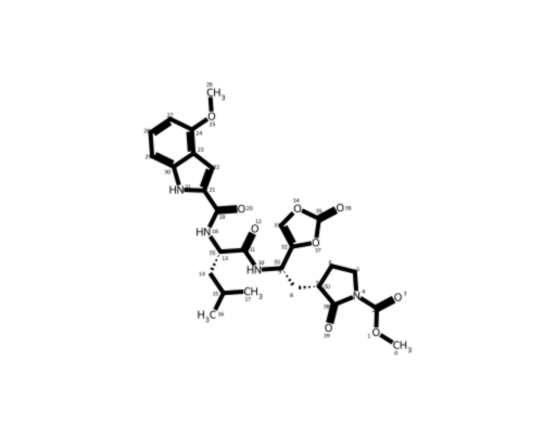 COC(=O)N1CC[C@@H](C[C@H](NC(=O)[C@H](CC(C)C)NC(=O)c2cc3c(OC)cccc3[nH]2)c2coc(=O)o2)C1=O